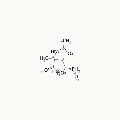 CC(=O)NC(C)(CC(O)[PH2]=O)C(=O)O